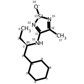 CC[C@H](CC1CCCCC1)Nc1n[s+]([O-])nc1C